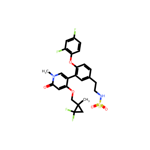 Cn1cc(-c2cc(CCN[SH](=O)=O)ccc2Oc2ccc(F)cc2F)c(OCC2(C)CC2(F)F)cc1=O